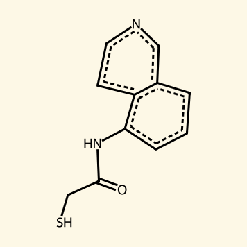 O=C(CS)Nc1cccc2cnccc12